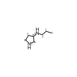 CCCNC1CCNC1